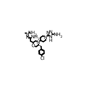 CN(N)/N=C(\N)CC1CN(C2CCN(c3nnc(N)[nH]3)CC2)[C@@H](Cc2ccc(Cl)cc2)CO1